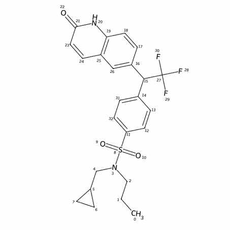 CCCN(CC1CC1)S(=O)(=O)c1ccc(C(c2ccc3[nH]c(=O)ccc3c2)C(F)(F)F)cc1